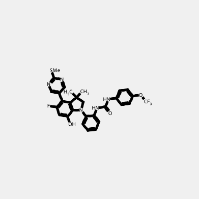 CSc1ncc(-c2c(F)cc(O)c3c2C(C)(C)CN3c2ccccc2NC(=O)Nc2ccc(OC(F)(F)F)cc2)cn1